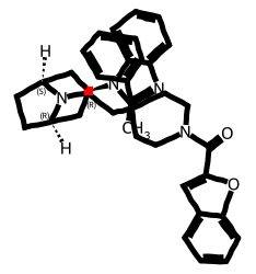 Cc1nc2ccccc2n1[C@H]1C[C@H]2CC[C@@H](C1)N2CCC1(c2ccccc2)CCN(C(=O)c2cc3ccccc3o2)CC1